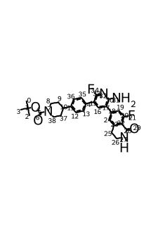 CC(C)(C)OC(=O)N1CCC(c2ccc(-c3cc(-c4cc(F)c5c(c4)CCNC5=O)c(N)nc3F)cc2)CC1